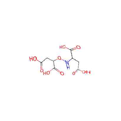 O=C(O)CC(NOC(CC(=O)O)C(=O)O)C(=O)O